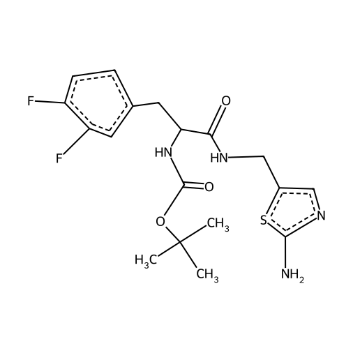 CC(C)(C)OC(=O)NC(Cc1ccc(F)c(F)c1)C(=O)NCc1cnc(N)s1